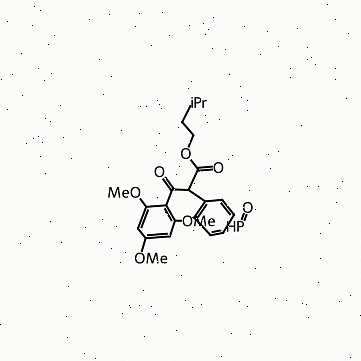 COc1cc(OC)c(C(=O)C(C(=O)OCCC(C)C)c2ccccc2)c(OC)c1.O=P